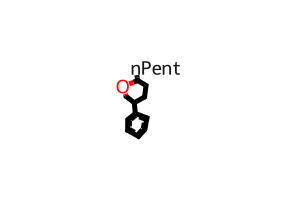 CCCCCC1CCC(c2ccccc2)CO1